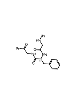 CC(C)NCC(=O)N[C@@H](Cc1ccccc1)C(=O)NCC(=O)C(C)C